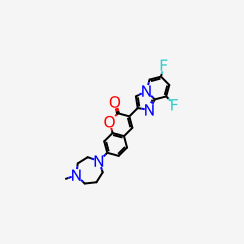 CN1CCCN(c2ccc3cc(-c4cn5cc(F)cc(F)c5n4)c(=O)oc3c2)CC1